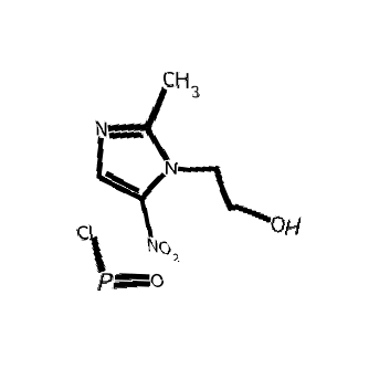 Cc1ncc([N+](=O)[O-])n1CCO.O=PCl